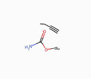 C#CC.CC(C)(C)OC(N)=O